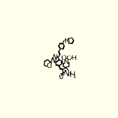 O=C1NCC2(CCN(C(=O)O)CC2)/C1=C\c1ccc2c(/C=C/c3ccc(CN4CCCCC4)cc3)nn(C3CCCCO3)c2c1